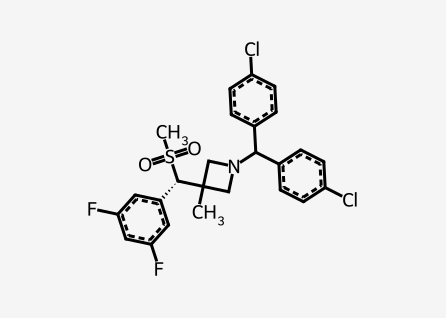 CC1([C@H](c2cc(F)cc(F)c2)S(C)(=O)=O)CN(C(c2ccc(Cl)cc2)c2ccc(Cl)cc2)C1